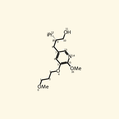 COCCCOc1cc(C[C@@H](CO)C(C)C)cnc1OC